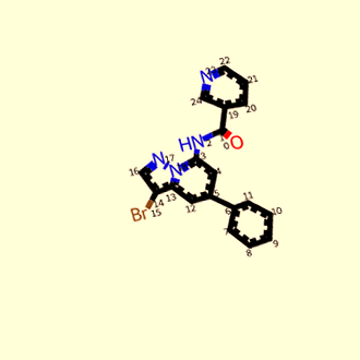 O=C(Nc1cc(-c2ccccc2)cc2c(Br)cnn12)c1cccnc1